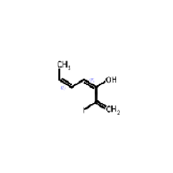 C=C(I)/C(O)=C\C=C/C